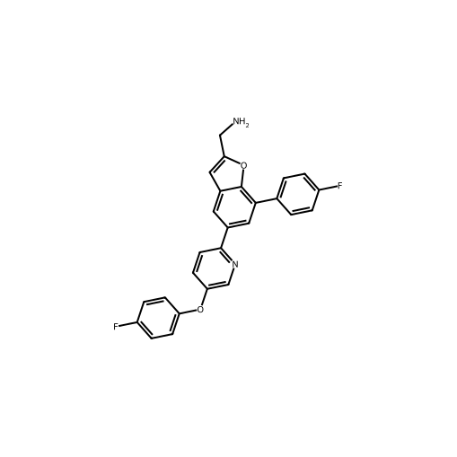 NCc1cc2cc(-c3ccc(Oc4ccc(F)cc4)cn3)cc(-c3ccc(F)cc3)c2o1